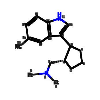 CCN(CC)C[C@H]1CCCC1c1c[nH]c2ccc(C#N)cc12